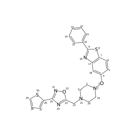 [CH]1CN(Oc2ccc3sc(-c4ccccc4)nc3c2)CCN1Cc1nc(-c2cccs2)no1